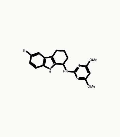 COc1cc(OC)nc(NC2CCCc3c2[nH]c2ccc(Br)cc32)n1